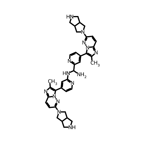 Cc1nc2ccc(N3CC4CNCC4C3)nn2c1-c1ccnc(NC(N)c2cc(-c3c(C)nc4ccc(N5CC6CNCC6C5)nn34)ccn2)c1